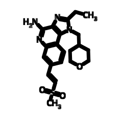 CCc1nc2c(N)nc3cc(/C=C/S(C)(=O)=O)ccc3c2n1CC1CCOCC1